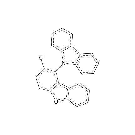 Clc1ccc2oc3ccccc3c2c1-n1c2ccccc2c2ccccc21